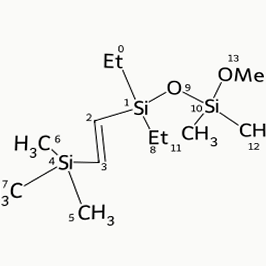 CC[Si](C=C[Si](C)(C)C)(CC)O[Si](C)(C)OC